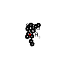 CCC1=C(c2c(-c3ccc4ccccc4c3)ccc3oc4ccccc4c23)N=C(c2ccc(-c3ccc4ccccc4c3)cc2)CC(C)=C1c1ccc2ccccc2c1